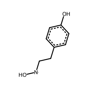 O[N]CCc1ccc(O)cc1